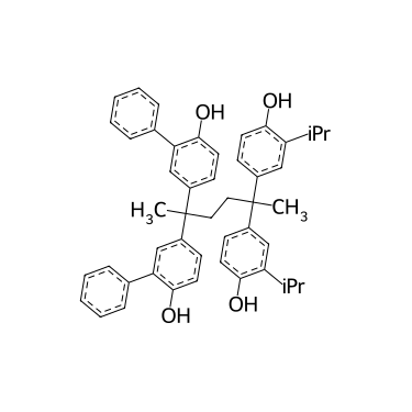 CC(C)c1cc(C(C)(CCC(C)(c2ccc(O)c(-c3ccccc3)c2)c2ccc(O)c(-c3ccccc3)c2)c2ccc(O)c(C(C)C)c2)ccc1O